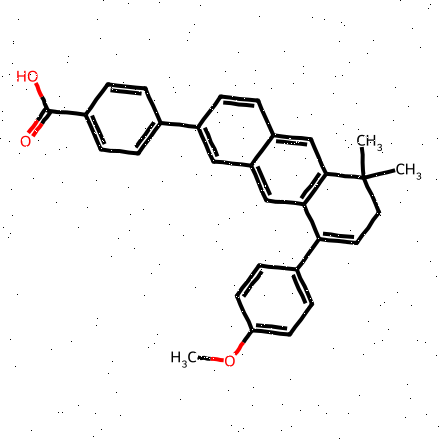 COc1ccc(C2=CCC(C)(C)c3cc4ccc(-c5ccc(C(=O)O)cc5)cc4cc32)cc1